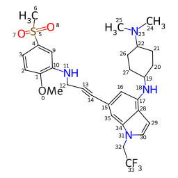 COc1ccc(S(C)(=O)=O)cc1NCC#Cc1cc(NC2CCC(N(C)C)CC2)c2ccn(CC(F)(F)F)c2c1